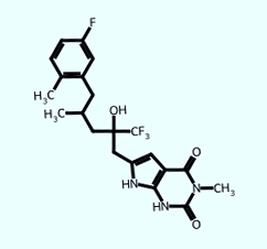 Cc1ccc(F)cc1CC(C)CC(O)(Cc1cc2c(=O)n(C)c(=O)[nH]c2[nH]1)C(F)(F)F